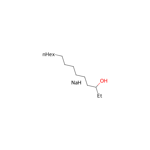 CCCCCCCCCCCCC(O)CC.[NaH]